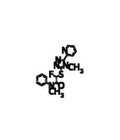 CN(C(=O)C(F)Sc1nnc(-c2ccccn2)n1C)c1ccccc1